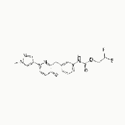 Cn1cc(-n2ccc(=O)c(Cc3cccc(NC(=O)OCC(F)F)c3)n2)cn1